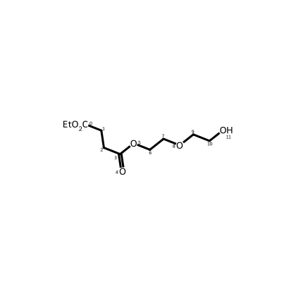 CCOC(=O)CCC(=O)OCCOCCO